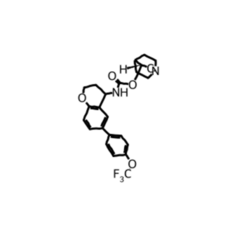 O=C(NC1CCOc2ccc(-c3ccc(OC(F)(F)F)cc3)cc21)O[C@H]1CN2CCC1CC2